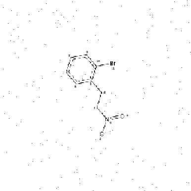 O=[N+]([O-])CCc1ccccc1Br